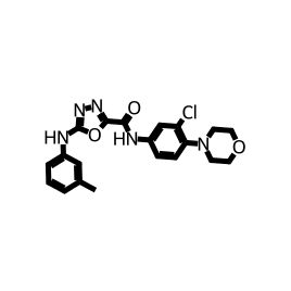 Cc1cccc(Nc2nnc(C(=O)Nc3ccc(N4CCOCC4)c(Cl)c3)o2)c1